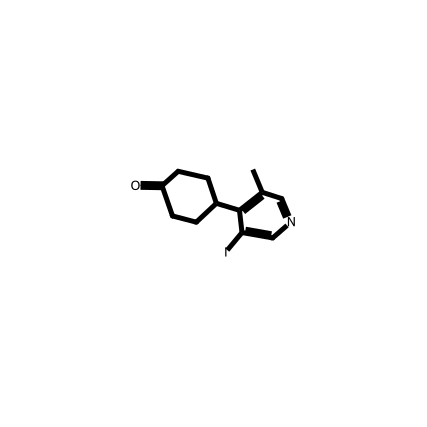 Cc1cncc(I)c1C1CCC(=O)CC1